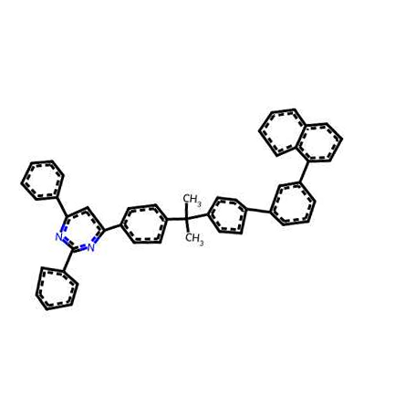 CC(C)(c1ccc(-c2cccc(-c3cccc4ccccc34)c2)cc1)c1ccc(-c2cc(-c3ccccc3)nc(-c3ccccc3)n2)cc1